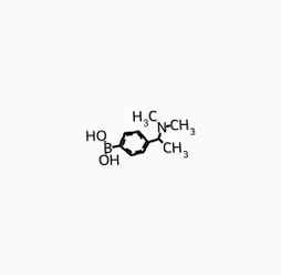 CC(c1ccc(B(O)O)cc1)N(C)C